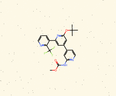 COC(=O)Nc1cc(-c2cc(OC(C)(C)C)nc(-c3cccnc3C(F)(F)F)c2)ccn1